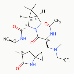 CN(C[C@H](NC(=O)C(F)(F)F)C(=O)N1C[C@H]2[C@@H]([C@H]1C(=O)N[C@H](C#N)C[C@@H]1CC3(CC3)NC1=O)C2(C)C)CC(F)(F)F